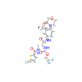 O=C(N[C@H](CNC(=O)c1ccc(Cl)s1)C(=O)Nc1ccc(N2CCOCC2=O)c(C(F)(F)F)c1)OCC(F)F